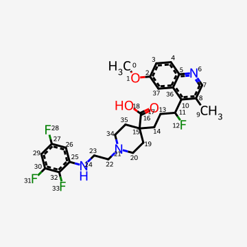 COc1ccc2ncc(C)c(C(F)CCC3(C(=O)O)CCN(CCNc4cc(F)cc(F)c4F)CC3)c2c1